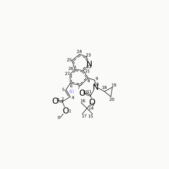 COC(=O)/C=C/c1cc(CN(C(=O)OC(C)(C)C)C2CC2)c2ncccc2c1